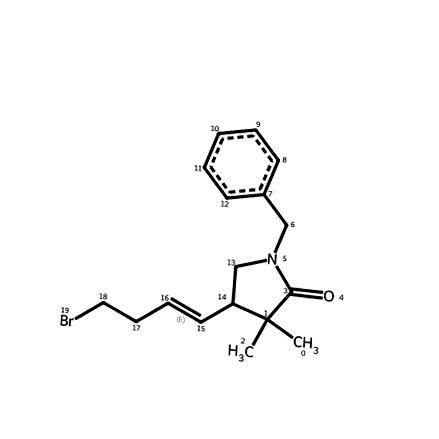 CC1(C)C(=O)N(Cc2ccccc2)CC1/C=C/CCBr